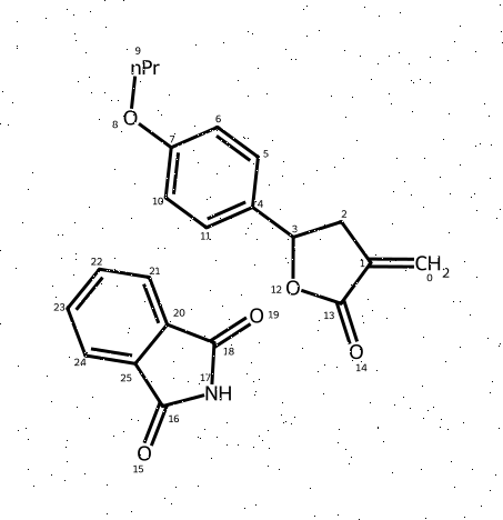 C=C1CC(c2ccc(OCCC)cc2)OC1=O.O=C1NC(=O)c2ccccc21